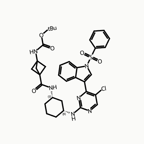 CC(C)(C)OC(=O)NC12CC(C(=O)N[C@H]3CCC[C@@H](Nc4ncc(Cl)c(-c5cn(S(=O)(=O)c6ccccc6)c6ccccc56)n4)C3)(C1)C2